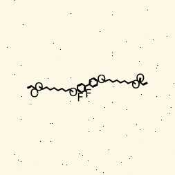 C=CC(=O)OCCCCCCCCOc1ccc(-c2ccc(OCCCCCCCCOC(=O)C=C)c(F)c2F)cc1